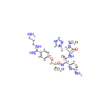 N=C(NCCCN)c1ccc(OC[C@H](ON=C(C(=O)N[C@@H]2C(=O)N(S(=O)(=O)O)[C@H]2Cn2cncn2)c2csc(N)n2)C(=O)O)cc1